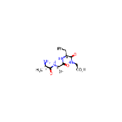 CC(C)C[C@H](NC(=O)[C@@H](NC(=O)[C@H](C)N)C(C)C)C(=O)NCC(=O)O